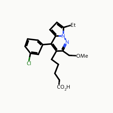 CCc1ccc2c(-c3cccc(Cl)c3)c(CCCCC(=O)O)c(COC)nn12